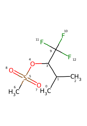 CC(C)C(OS(C)(=O)=O)C(F)(F)F